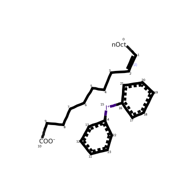 CCCCCCCC/C=C\CCCCCCCC(=O)[O-].c1ccc([I+]c2ccccc2)cc1